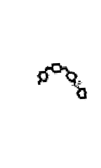 CC1CCC(CC2CCC(CC3CCC(S(=O)(=O)C4CCCCC4)CC3)CC2)CC1